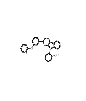 Oc1ccccc1-n1c2ccccc2c2ccc(-c3cccc(Oc4ccccn4)c3)nc21